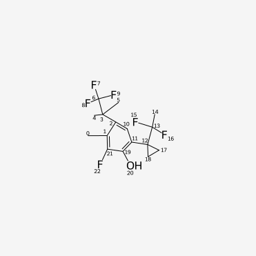 Cc1c(C(C)(C)C(F)(F)F)cc(C2(C(C)(F)F)CC2)c(O)c1F